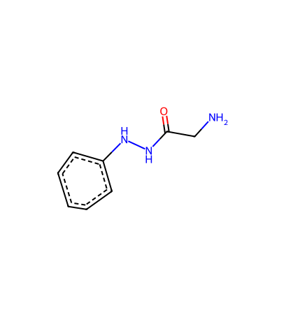 NCC(=O)NNc1ccccc1